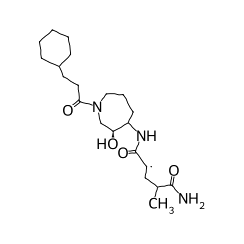 CC(C[CH]C(=O)NC1CCCN(C(=O)CCC2CCCCC2)C[C@@H]1O)C(N)=O